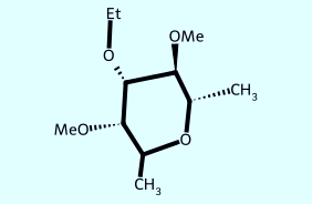 CCO[C@@H]1[C@@H](OC)[C@H](C)OC(C)[C@@H]1OC